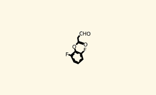 O=CCC(=O)Oc1c(F)cccc1F